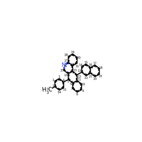 Cc1ccc(-c2c3ccccc3c(-c3ccc4ccccc4c3)c3c2cnc2ccccc23)cc1